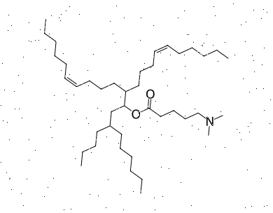 CCCCC/C=C\CCCC(CCC/C=C\CCCCC)C(CC(CCCC)CCCCCC)OC(=O)CCCCN(C)C